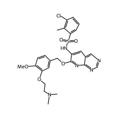 COc1ccc(COc2nc3ncncc3cc2NS(=O)(=O)c2cccc(Cl)c2C)cc1OCCN(C)C